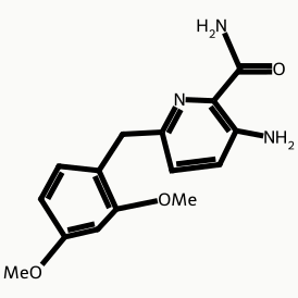 COc1ccc(Cc2ccc(N)c(C(N)=O)n2)c(OC)c1